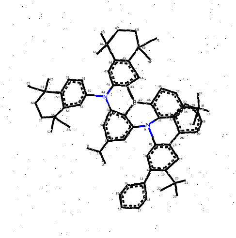 CC(C)c1cc2c3c(c1)N(c1cc(-c4ccccc4)c(C(C)(C)C)cc1-c1ccccc1)c1cc(C(C)(C)C)ccc1B3c1cc3c(cc1N2c1ccc2c(c1)C(C)(C)CCC2(C)C)C(C)(C)CCC3(C)C